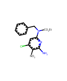 CCOC(=O)N(Cc1ccccc1)c1cc(Cl)c([N+](=O)[O-])c(N)n1